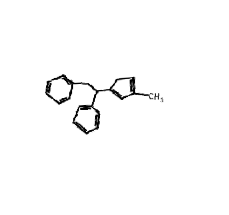 CC1=CCC(C(Cc2ccccc2)c2ccccc2)=C1